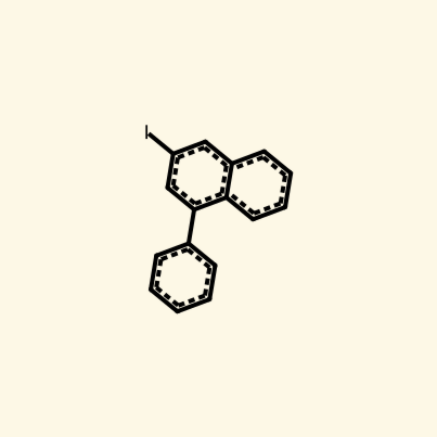 Ic1cc(-c2ccccc2)c2ccccc2c1